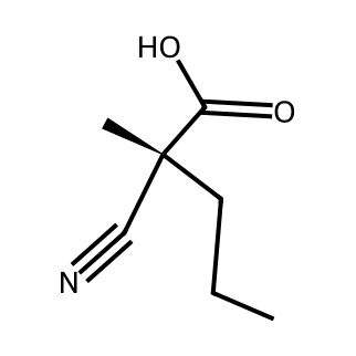 CCC[C@](C)(C#N)C(=O)O